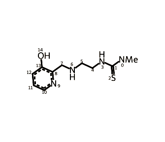 CNC(=S)NCCNCc1ncccc1O